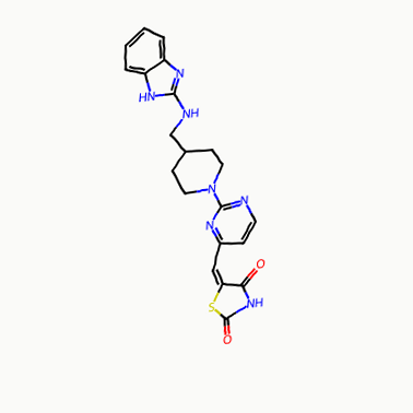 O=C1NC(=O)/C(=C\c2ccnc(N3CCC(CNc4nc5ccccc5[nH]4)CC3)n2)S1